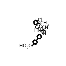 CC(OC(=O)Nc1c(C#N)cnn1-c1ccc(-c2ccc(CC(=O)O)cc2)cc1)c1ccccc1Cl